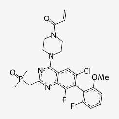 C=CC(=O)N1CCN(c2nc(CP(C)(C)=O)nc3c(F)c(-c4c(F)cccc4OC)c(Cl)cc23)CC1